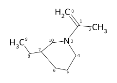 C=C(C)N1CCCC(CC)C1